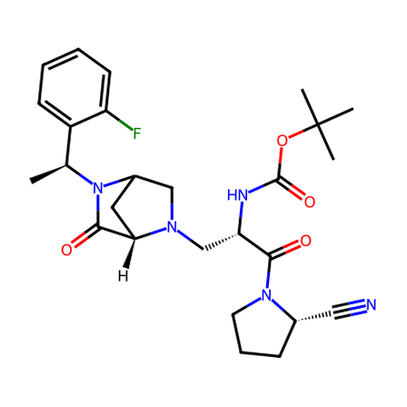 C[C@@H](c1ccccc1F)N1C(=O)[C@@H]2CC1CN2C[C@H](NC(=O)OC(C)(C)C)C(=O)N1CCC[C@H]1C#N